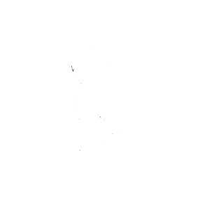 CC(C)N1CCc2ncsc2C1